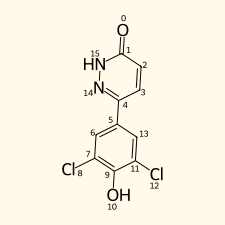 O=c1ccc(-c2cc(Cl)c(O)c(Cl)c2)n[nH]1